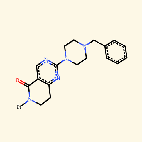 CCN1CCc2nc(N3CCN(Cc4ccccc4)CC3)ncc2C1=O